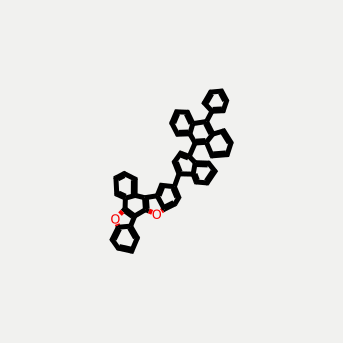 c1ccc(-c2c3ccccc3c(-c3ccc(-c4ccc5oc6c(c5c4)c4ccccc4c4oc5ccccc5c46)c4ccccc34)c3ccccc23)cc1